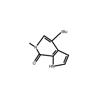 Cn1cc(C(C)(C)C)c2cc[nH]c2c1=O